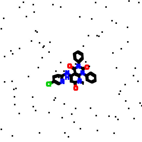 Cn1c(=O)cc(Nc2ccc(Cl)cn2)c2c(=O)n(-c3ccccc3)c(=O)n(-c3ccccc3)c21